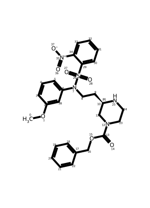 COc1cccc(N(CC[C@@H]2CN(C(=O)OCc3ccccc3)CCN2)S(=O)(=O)c2ccccc2[N+](=O)[O-])c1